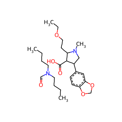 CCCCN(C=O)CCCC.CCOCCC1C(C(=O)O)C(c2ccc3c(c2)OCO3)CN1C